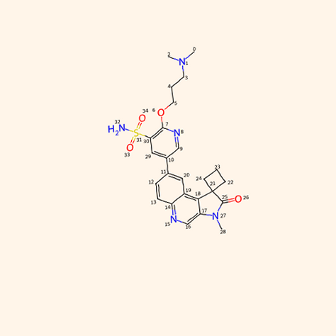 CN(C)CCCOc1ncc(-c2ccc3ncc4c(c3c2)C2(CCC2)C(=O)N4C)cc1S(N)(=O)=O